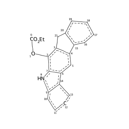 CCOC(=O)Oc1c2c(cc3c1[nH]c1ccccc13)-c1ccccc1C2